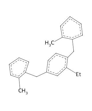 CCc1cc(Cc2ccccc2C)ccc1Cc1ccccc1C